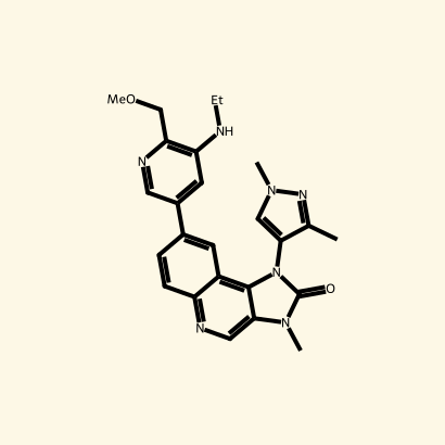 CCNc1cc(-c2ccc3ncc4c(c3c2)n(-c2cn(C)nc2C)c(=O)n4C)cnc1COC